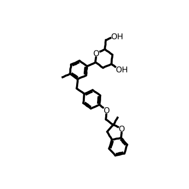 Cc1ccc(C2CC(O)CC(CO)O2)cc1Cc1ccc(OCC2(C)Cc3ccccc3O2)cc1